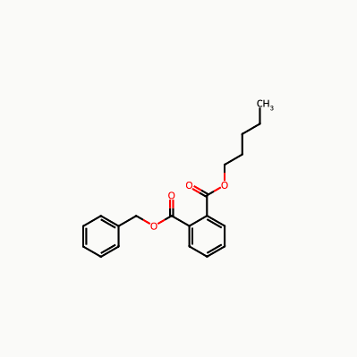 CCCCCOC(=O)c1ccccc1C(=O)OCc1ccccc1